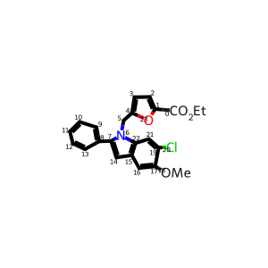 CCOC(=O)c1ccc(Cn2c(-c3ccccc3)cc3cc(OC)c(Cl)cc32)o1